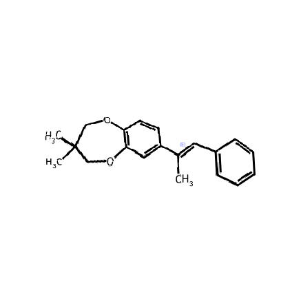 C/C(=C\c1ccccc1)c1ccc2c(c1)OCC(C)(C)CO2